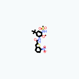 COc1c(NC(=O)c2cc3cccc([N+](=O)[O-])c3s2)cc(C(C)(C)C)cc1NS(C)(=O)=O